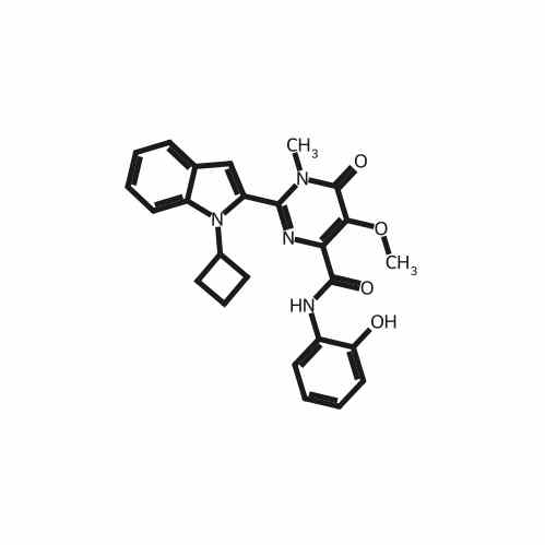 COc1c(C(=O)Nc2ccccc2O)nc(-c2cc3ccccc3n2C2CCC2)n(C)c1=O